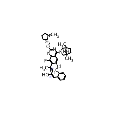 C/C(=C\C(O)=C/c1ccccc1C)c1c(Cl)cc2c(N3CC4(C)CCC(C)(C3)N4)nc(OC[C@@H]3CCCN3C)nc2c1F